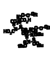 CCOCCOCCOc1ccc(C[C@H]2CN(CC(=O)O)CCN(CC(=O)O)CCN(CC(=O)O)CCN2CC(=O)O)nc1.CCOCCOCCOc1ccc(C[C@H]2CN(CC(=O)OC(C)(C)C)CCN(CC(=O)OC(C)(C)C)CCN(CC(=O)OC(C)(C)C)CCN2CC(=O)OC(C)(C)C)nc1